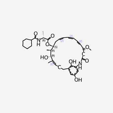 CO[C@H]1\C=C/C=C\C=C/C[C@H](OC(=O)[C@@H](C)NC(=O)C2CCCCC2)[C@H](C)[C@@H](O)/C(C)=C\CCc2cc(O)cc(c2O)NC(=O)C1